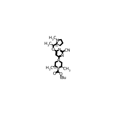 C[C@H](Oc1cc(N2C[C@H](C)N(C(=O)OC(C)(C)C)[C@@H](C)C2)nc(C#N)n1)[C@@H]1CCCN1C